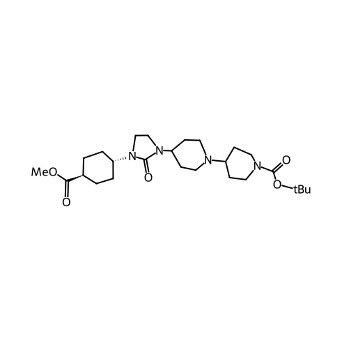 COC(=O)[C@H]1CC[C@H](N2CCN(C3CCN(C4CCN(C(=O)OC(C)(C)C)CC4)CC3)C2=O)CC1